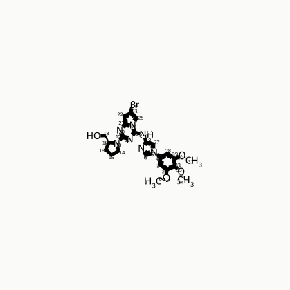 COc1cc(-n2cnc(Nc3nc(N4CCC[C@H]4CO)nc4cc(Br)cn34)c2)cc(OC)c1OC